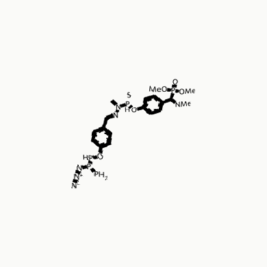 CNC(c1ccc(O[PH](=S)N(C)/N=C/c2ccc(OPP(P)N=[N+]=[N-])cc2)cc1)P(=O)(OC)OC